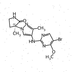 COc1nc(Nc2cn([C@@]3(C)CCNC3=O)nc2C)ncc1Br